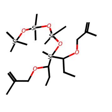 C=C(C)COC(CC)[Si](C)(O[Si](C)(C)O[Si](C)(C)O[Si](C)(C)C)C(CC)OCC(=C)C